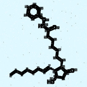 CCCCCC/C=C/[C@H]1[C@H](O)CC(=O)[C@@H]1CCCCCCC(=O)NOc1ccccc1